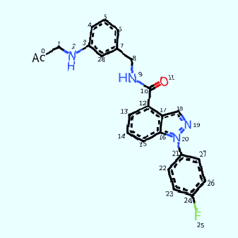 CC(=O)CNc1cccc(CNC(=O)c2cccc3c2cnn3-c2ccc(F)cc2)c1